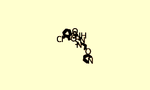 Cc1c(Cl)cccc1S(=O)(=O)Nc1nc(CCOc2cccnc2)ns1